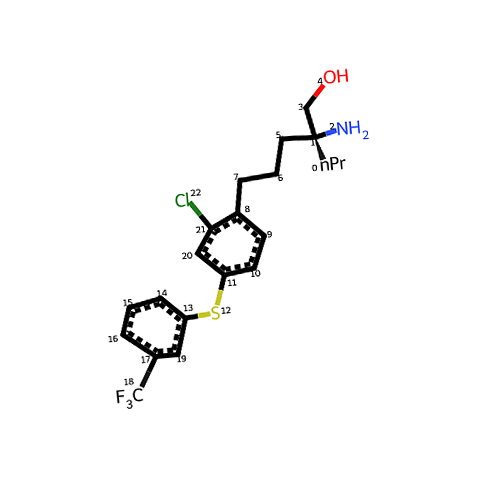 CCC[C@](N)(CO)CCCc1ccc(Sc2cccc(C(F)(F)F)c2)cc1Cl